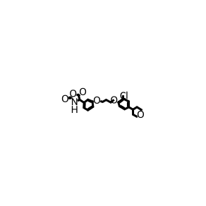 O=C1NC(c2cccc(OCCCOc3ccc(C4CCOCC4)cc3Cl)c2)C(=O)O1